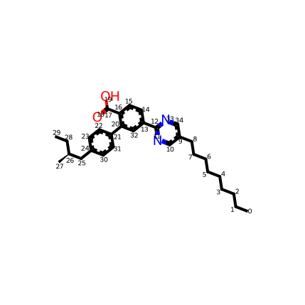 CCCCCCCCCc1cnc(-c2ccc(C(=O)O)c(-c3ccc(C[C@@H](C)CC)cc3)c2)nc1